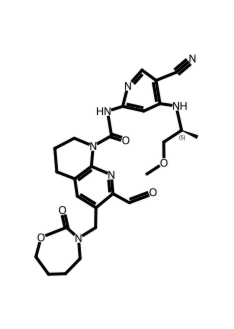 COC[C@H](C)Nc1cc(NC(=O)N2CCCc3cc(CN4CCCCOC4=O)c(C=O)nc32)ncc1C#N